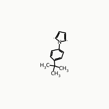 CC(C)(C)c1ccc(-n2[c]cc[c]2)cc1